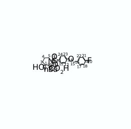 CCCCC1(O)CCCN(S(=O)(=O)c2ccc(OCc3ccc(F)cc3)cc2)C1C(=O)O